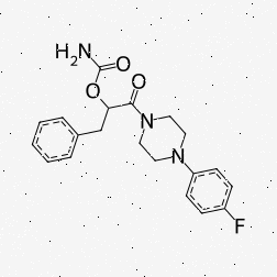 NC(=O)OC(Cc1ccccc1)C(=O)N1CCN(c2ccc(F)cc2)CC1